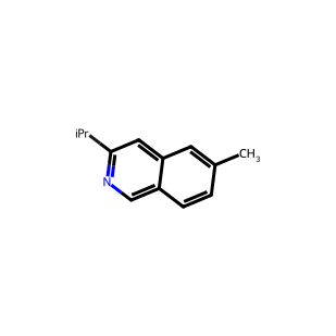 Cc1ccc2cnc(C(C)C)cc2c1